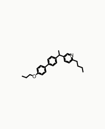 CCCCc1ccc(C(C)c2ccc(-c3ccc(OCCC)cc3)cc2)cn1